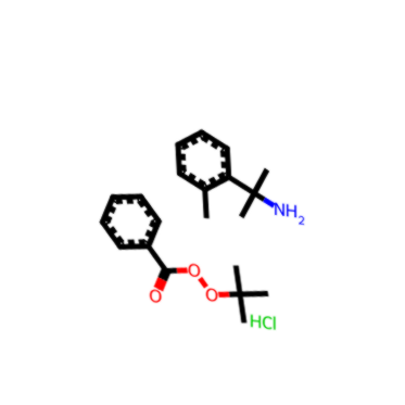 CC(C)(C)OOC(=O)c1ccccc1.Cc1ccccc1C(C)(C)N.Cl